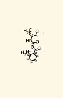 CCC(CC)NC(=O)OC(C)c1ccccc1N